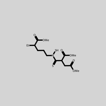 CCC(CCCN(S)C(=S)C(CC(=O)OC)C(=O)OC)C(=O)OC